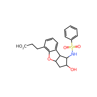 O=C(O)CCc1cccc2c1OC1CC(O)C(NS(=O)(=O)c3ccccc3)C21